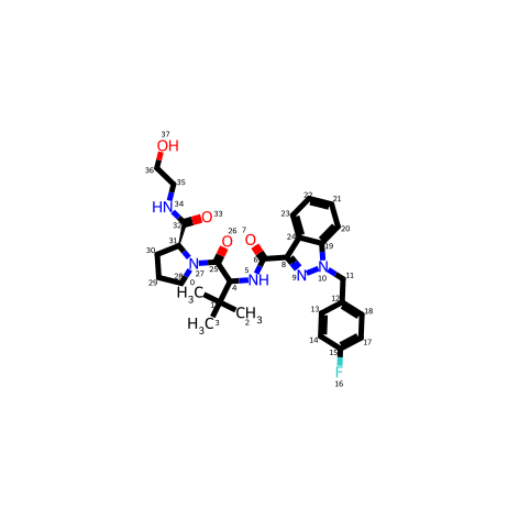 CC(C)(C)C(NC(=O)c1nn(Cc2ccc(F)cc2)c2ccccc12)C(=O)N1CCC[C@H]1C(=O)NCCO